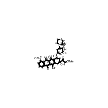 COCC(=O)[C@]1(O)Cc2c(O)c3c(c(O)c2[C@@H](O[C@H]2CC4[C@H](O[C@@H]5COCCN45)[C@H](C)S2)C1)C(O)c1c(OC)cccc1C3=O